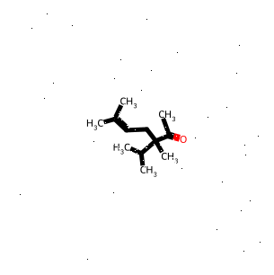 CC(=O)C(C)(CC=C(C)C)C(C)C